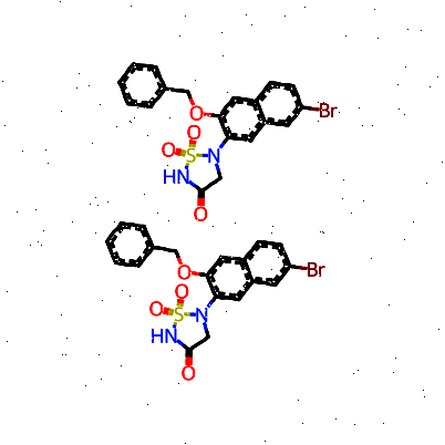 O=C1CN(c2cc3cc(Br)ccc3cc2OCc2ccccc2)S(=O)(=O)N1.O=C1CN(c2cc3cc(Br)ccc3cc2OCc2ccccc2)S(=O)(=O)N1